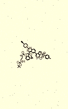 C#CC1CCN(c2nc(C(COC(=O)N(C)CCNC(=O)OC(C)(C)C)(OC3CC3)c3ccccc3)c3cc(-c4cn(C)c(=O)c5c4ccn5S(=O)(=O)c4ccc(C)cc4)ccc3n2)CC1